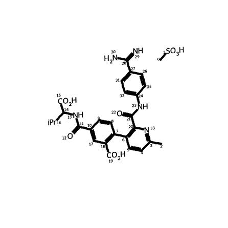 CS(=O)(=O)O.Cc1ccc(-c2ccc(C(=O)NC(C(=O)O)C(C)C)cc2C(=O)O)c(C(=O)Nc2ccc(C(=N)N)cc2)n1